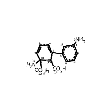 Nc1cccc(C2=CC=CC(N)(C(=O)O)C2C(=O)O)c1